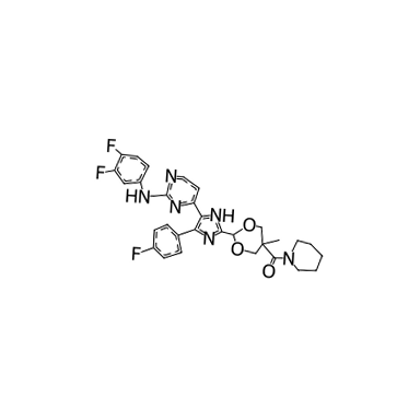 CC1(C(=O)N2CCCCC2)COC(c2nc(-c3ccc(F)cc3)c(-c3ccnc(Nc4ccc(F)c(F)c4)n3)[nH]2)OC1